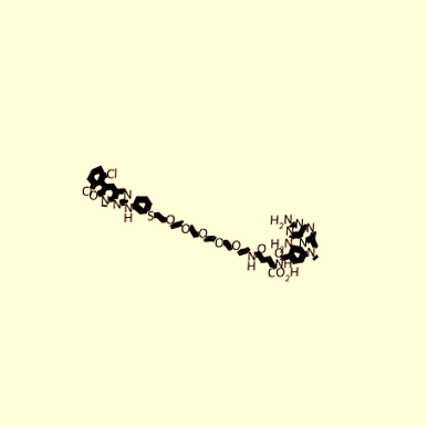 CN(Cc1cnc2nc(N)nc(N)c2n1)c1ccc(C(=O)NC(CCC(=O)NCCOCCOCCOCCOCCOCCSc2cccc(Nc3ncc4cc(-c5c(Cl)cccc5Cl)c(=O)n(C)c4n3)c2)C(=O)O)cc1